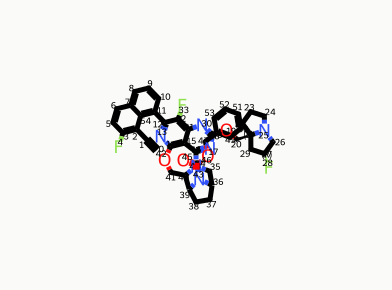 C#Cc1c(F)ccc2cccc(-c3nc4c5c(nc(OC[C@@]67CCCN6C[C@H](F)C7)nc5c3F)N3CC5CCC(C3CO4)N5C(=O)OCc3ccccc3)c12